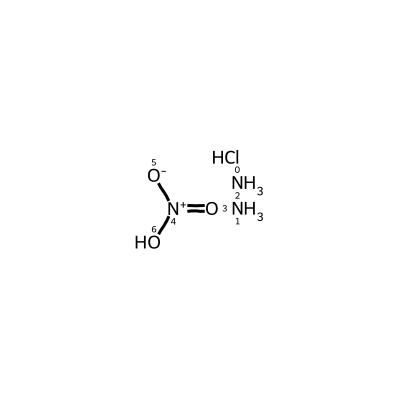 Cl.N.N.O=[N+]([O-])O